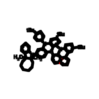 CC(C)(C)c1ccc(N2c3cc(N4c5ccccc5C5(C)CCCCCCC45C)ccc3B3c4ccccc4N(c4ccc(C(C)(C)C)cc4-c4ccccc4)c4cc(C(C)(C)C)cc2c43)cc1